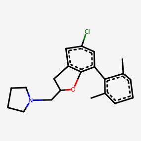 Cc1cccc(C)c1-c1cc(Cl)cc2c1OC(CN1CCCC1)C2